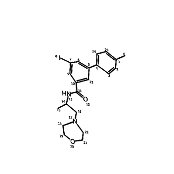 Cc1ccc(-c2cc(I)cc(C(=O)NC(C)CN3CCOCC3)c2)cc1